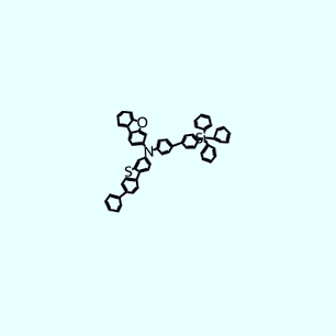 c1ccc(-c2ccc3c(c2)sc2cc(N(c4ccc(-c5ccc([Si](c6ccccc6)(c6ccccc6)c6ccccc6)cc5)cc4)c4ccc5c(c4)oc4ccccc45)ccc23)cc1